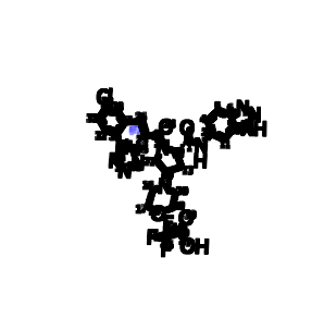 O=C(Nc1ccc2nn[nH]c2c1)[C@@H]1C[C@H](N2CCOCC2)CN1C(=O)/C=C/c1cc(Cl)ccc1-n1cnnn1.O=C(O)C(F)(F)F